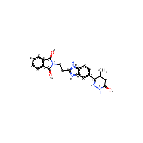 CC1CC(=O)NN=C1c1ccc2[nH]c(CCN3C(=O)c4ccccc4C3=O)nc2c1